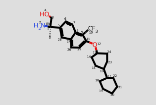 C[C@](N)(CO)c1ccc2c(C(F)(F)F)c(OC3CCC(C4CCCCC4)CC3)ccc2c1